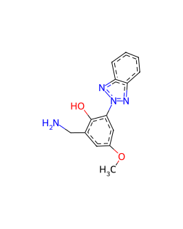 COc1cc(CN)c(O)c(-n2nc3ccccc3n2)c1